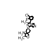 Cc1nc(N2CCC3(CC2)CO[C@@H](C)[C@H]3N)c2cncn2c1-c1cccc(Cl)c1F